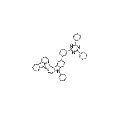 c1ccc(-c2nc(-c3ccccc3)nc(-c3cccc(-c4ccc5c(c4)c4c6c7cccc8c9ccccc9n(c6ccc4n5-c4ccccc4)c87)c3)n2)cc1